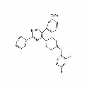 COc1cccc(-c2cnc(-c3ccncc3)nc2C2CCN(Cc3ccc(F)cc3F)CC2)c1